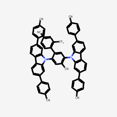 N#Cc1ccc(-c2ccc3c4ccc(-c5ccc(C#N)cc5)cc4n(-c4cc(-c5ccc(C#N)cc5C(F)(F)F)c(-n5c6cc(-c7ccc(C#N)cc7)ccc6c6ccc(-c7ccc(C#N)cc7)cc65)cc4C#N)c3c2)cc1